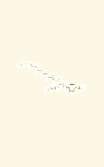 CCCCCCCCCCCCCCCCCCOC[C@H](COc1ccc(C(C)=O)cc1)OCCCC